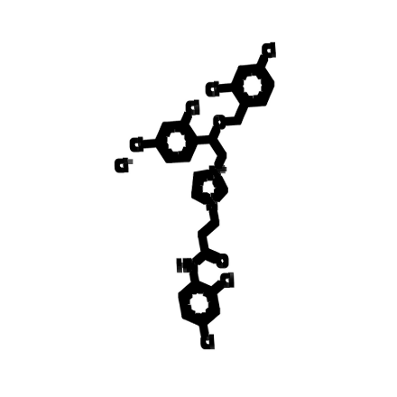 O=C(CCn1cc[n+](CC(OCc2ccc(Cl)cc2Cl)c2ccc(Cl)cc2Cl)c1)Nc1ccc(Cl)cc1Cl.[Cl-]